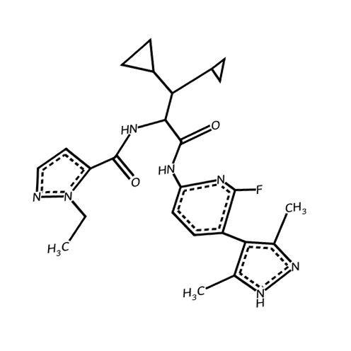 CCn1nccc1C(=O)NC(C(=O)Nc1ccc(-c2c(C)n[nH]c2C)c(F)n1)C(C1CC1)C1CC1